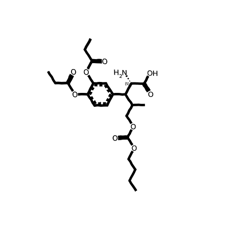 CCCCOC(=O)OCC(C)C(c1ccc(OC(=O)CC)c(OC(=O)CC)c1)[C@H](N)C(=O)O